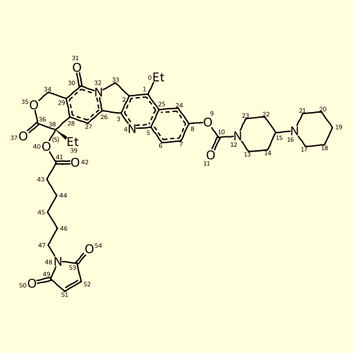 CCc1c2c(nc3ccc(OC(=O)N4CCC(N5CCCCC5)CC4)cc13)-c1cc3c(c(=O)n1C2)COC(=O)[C@@]3(CC)OC(=O)CCCCCN1C(=O)C=CC1=O